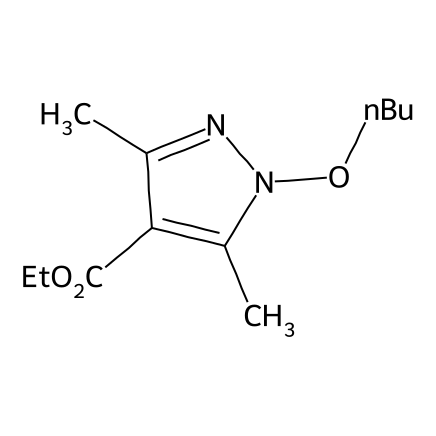 CCCCOn1nc(C)c(C(=O)OCC)c1C